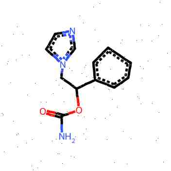 NC(=O)OC(Cn1ccnc1)c1ccccc1